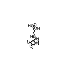 COc1cc2ncnc(NCCCCP(=O)(O)O)c2cc1OC